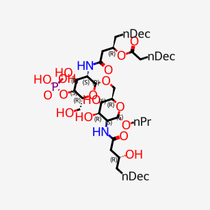 CCCCCCCCCCCC(=O)O[C@H](CCCCCCCCCCC)CC(=O)N[C@@H]1[C@H](OC[C@H]2O[C@H](OCCC)[C@@H](NC(=O)C[C@H](O)CCCCCCCCCCC)[C@@H](O)[C@@H]2O)O[C@H](CO)[C@@H](OP(=O)(O)O)[C@@H]1O